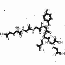 NC(=O)CC[C@H](NC(=O)[C@H](CCC(N)=O)NC(=O)[C@H](Cc1ccc(O)cc1)NC(=O)CNC(=O)CNC(=O)[C@@H](N)CCC(N)=O)C(=O)O